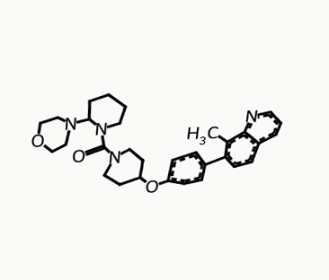 Cc1c(-c2ccc(OC3CCN(C(=O)N4CCCCC4N4CCOCC4)CC3)cc2)ccc2cccnc12